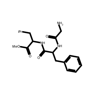 COC(=O)C(CC(C)C)NC(=O)C(Cc1ccccc1)NC(=O)CN